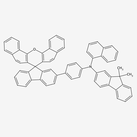 CC1(C)c2ccccc2-c2ccc(N(c3ccc(-c4ccc5c(c4)C4(c6ccccc6-5)c5ccc6ccccc6c5Oc5c4ccc4ccccc54)cc3)c3cccc4ccccc34)cc21